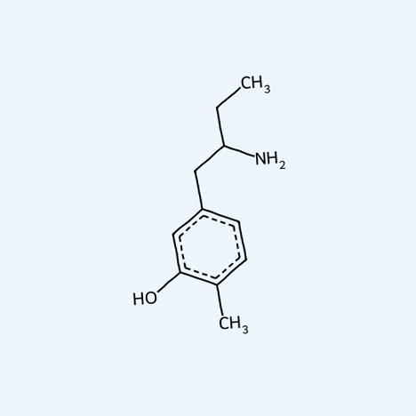 CCC(N)Cc1ccc(C)c(O)c1